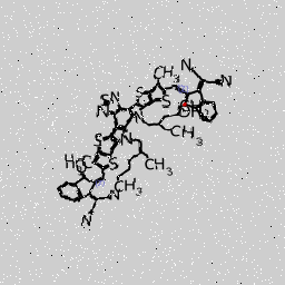 CCCCC(CC)Cn1c2c3sc(/C=C4\C(=O)c5ccccc5C4=C(C#N)C#N)c(C)c3sc2c2c3nsnc3c3c4sc5c(C)c(/C=C6/C(=C(C#N)C#N)c7ccccc7C6O)sc5c4n(CC(CC)CCCC)c3c21